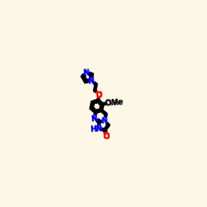 COc1c(OCCn2ccnc2)ccc2c1CN1CC(=O)NC1=N2